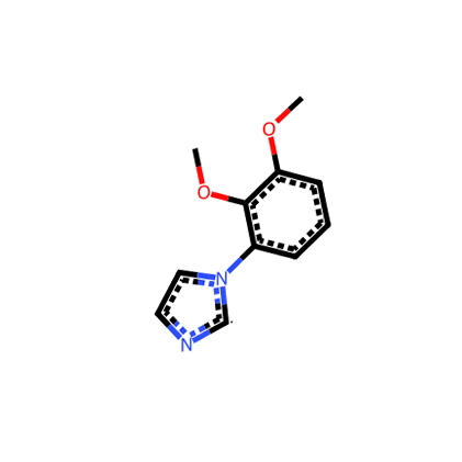 COc1cccc(-n2[c]ncc2)c1OC